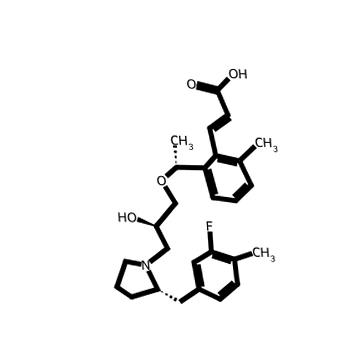 Cc1ccc(C[C@@H]2CCCN2C[C@@H](O)CO[C@H](C)c2cccc(C)c2C=CC(=O)O)cc1F